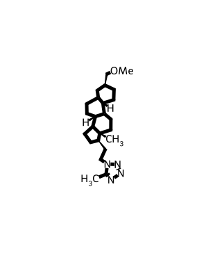 COC[C@H]1CC[C@H]2C(CC[C@@H]3C2CC[C@@]2(C)C3CC[C@@H]2CCn2nnnc2C)C1